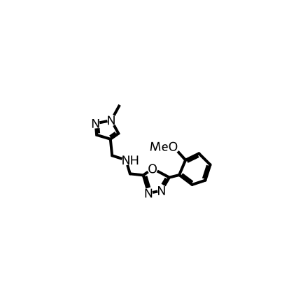 COc1ccccc1-c1nnc(CNCc2cnn(C)c2)o1